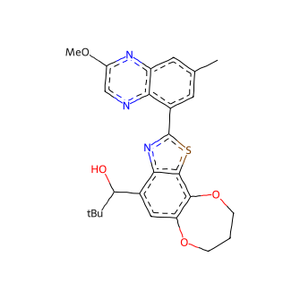 COc1cnc2c(-c3nc4c(C(O)C(C)(C)C)cc5c(c4s3)OCCCO5)cc(C)cc2n1